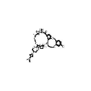 C[C@@H]1[C@@H](C)CCC[C@H]([C@H]2OC[C@@H](N3CC(N(C)C)C3)CO2)[C@@H]2CC[C@H]2CN2CCCCc3cc(Cl)ccc3COc3ccc(cc32)C(=O)NS1(=O)=O